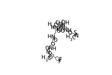 COc1cnc(C(=O)NCc2cccc(CC(=O)NCCCCC(=O)NC(C(=O)N3CC(O)CC3C(=O)NCc3ccc(-c4scnc4C)cc3)C(C)(C)C)c2)cc1C=CC1CCC(F)(F)CC1